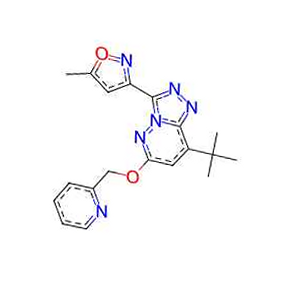 Cc1cc(-c2nnc3c(C(C)(C)C)cc(OCc4ccccn4)nn23)no1